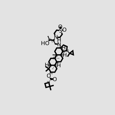 C[C@H](O)[C@H](CN[C@]12CC[C@@H](C3(C)CC3)[C@@H]1[C@H]1CC[C@@H]3[C@@]4(C)CC[C@H](OC(=O)[C@H]5CCC5(C)C)C(C)(C)[C@@H]4CC[C@@]3(C)[C@]1(C)CC2)N1CCS(=O)(=O)CC1